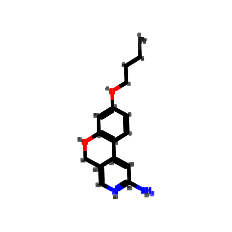 CC(C)CCCOc1ccc2c(c1)OCc1cnc(N)cc1-2